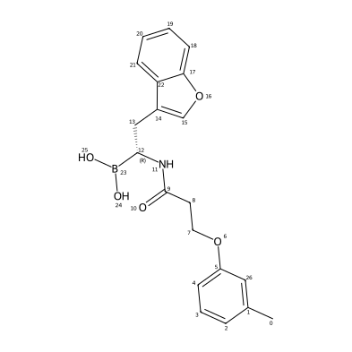 Cc1cccc(OCCC(=O)N[C@@H](Cc2coc3ccccc23)B(O)O)c1